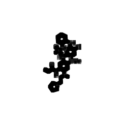 C=CC(=O)Nc1cc(Nc2ncc(Cl)c(Nc3ccccc3NS(C)(=O)=O)n2)c(OC)cc1N(C)CCN1CCCC1